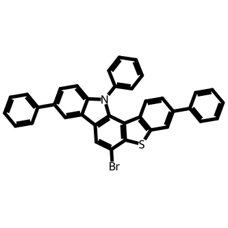 Brc1cc2c3cc(-c4ccccc4)ccc3n(-c3ccccc3)c2c2c1sc1cc(-c3ccccc3)ccc12